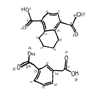 O=C(O)c1ccc(C(=O)O)c2c1CCCC2.O=C(O)c1cccc(C(=O)O)c1